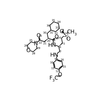 CS(=O)(=O)CC[C@@H](CNc1ccc(OC(F)(F)F)cc1)NC(=O)[C@@H](CC(=O)N1CCOCC1)CC1CCCCC1